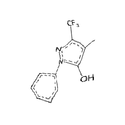 Cc1c(C(F)(F)F)nn(-c2ccccc2)c1O